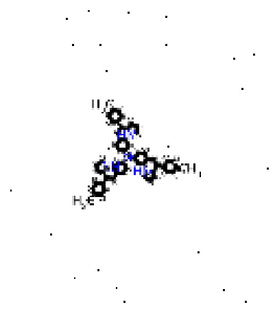 Cc1ccc(C(=Cc2ccc(N(c3ccc(C=C(c4ccc(C)cc4)c4ccc[nH]4)cc3)c3ccc(C=C(c4ccc(C)cc4)c4ccc[nH]4)cc3)cc2)c2ccc[nH]2)cc1